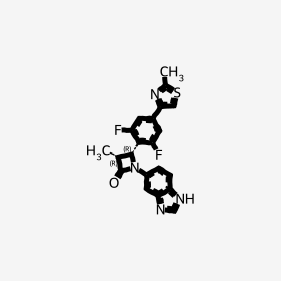 Cc1nc(-c2cc(F)c([C@H]3[C@@H](C)C(=O)N3c3ccc4[nH]cnc4c3)c(F)c2)cs1